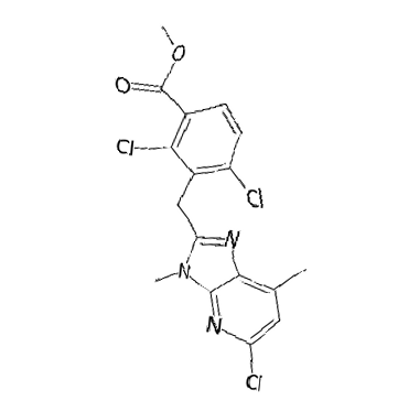 COC(=O)c1ccc(Cl)c(Cc2nc3c(C)cc(Cl)nc3n2C)c1Cl